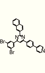 Brc1cc(Br)cc(-c2cc(-c3ccc(-c4ccncc4)cc3)nc(-c3ccc4ccccc4c3)n2)c1